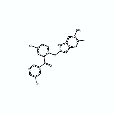 Cc1cc2cc(Oc3ccc(Cl)cc3C(=O)c3cccc(C#N)c3)[nH]c2cc1N